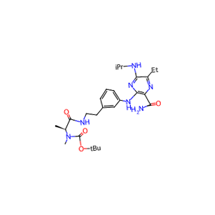 CCc1nc(C(N)=O)c(Nc2cccc(CCNC(=O)[C@H](C)N(C)C(=O)OC(C)(C)C)c2)nc1NC(C)C